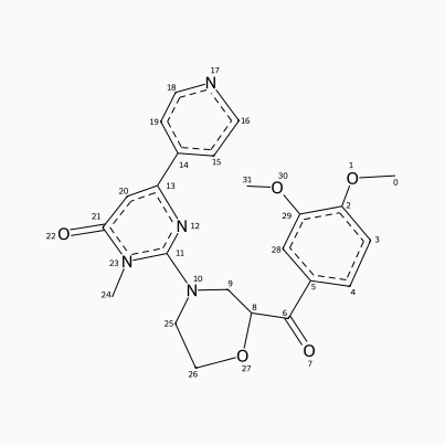 COc1ccc(C(=O)C2CN(c3nc(-c4ccncc4)cc(=O)n3C)CCO2)cc1OC